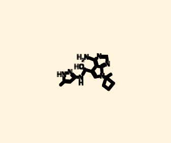 Cc1cc(NC(O)c2cn(C3(C)CCC3)c3ncnc(N)c23)n[nH]1